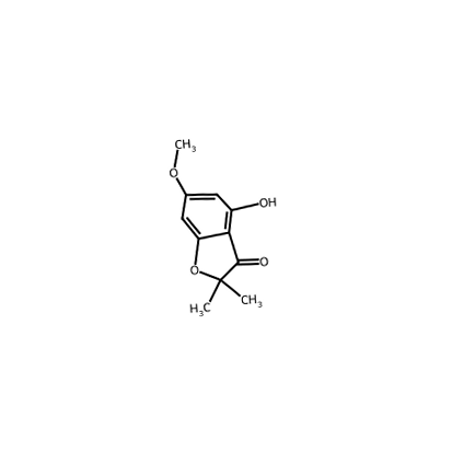 COc1cc(O)c2c(c1)OC(C)(C)C2=O